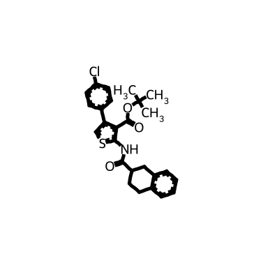 CC(C)(C)OC(=O)c1c(-c2ccc(Cl)cc2)csc1NC(=O)C1CCc2ccccc2C1